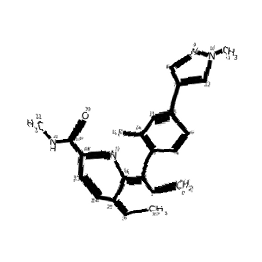 C=C/C(c1ccc(-c2cnn(C)c2)cc1F)=c1/nc(C(=O)NC)cc/c1=C/C